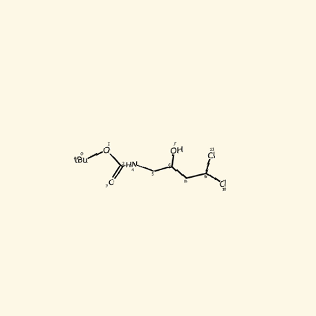 CC(C)(C)OC(=O)NCC(O)CC(Cl)Cl